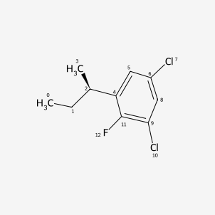 CC[C@@H](C)c1cc(Cl)cc(Cl)c1F